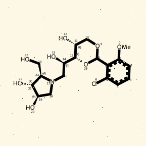 COc1cccc(Cl)c1C1OC[C@@H](O)[C@@H]([C@H](O)CN2C[C@@H](O)[C@H](O)[C@H]2CO)O1